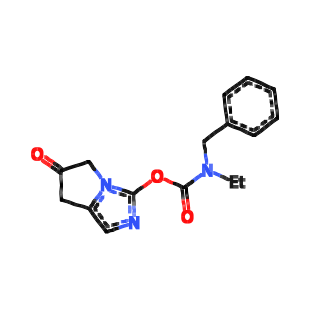 CCN(Cc1ccccc1)C(=O)Oc1ncc2n1CC(=O)C2